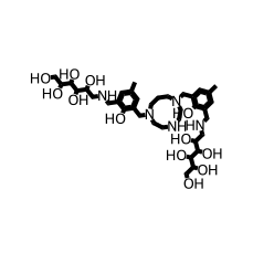 Cc1cc(CNCC(O)C(O)C(O)C(O)CO)c(O)c(CN2CCCN(Cc3cc(C)cc(CNCC(O)C(O)C(O)C(O)CO)c3O)CCNCC2)c1